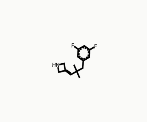 CC(C)(C=C1CNC1)Cc1cc(F)cc(F)c1